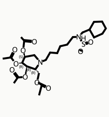 CC(=O)OC[C@@H]1[C@@H](OC(C)=O)[C@H](OC(C)=O)[C@@H](OC(C)=O)CN1CCCCCCN(CC1CCCCC1)[SH](=O)=O